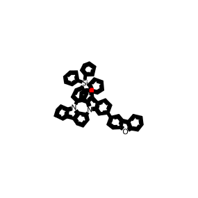 c1ccc([Si](c2ccccc2)(c2ccccc2)c2ccc(-n3c4ccccc4c4cccc(-n5c6ccccc6c6ccc(-c7ccc8oc9ccccc9c8c7)cc65)c43)cc2)cc1